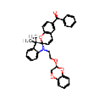 CC1(C)c2ccccc2N(CCOC2COc3ccccc3O2)C12C=Cc1cc(C(=O)c3ccccc3)ccc1O2